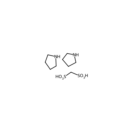 C1CCNC1.C1CCNC1.O=S(=O)(O)CS(=O)(=O)O